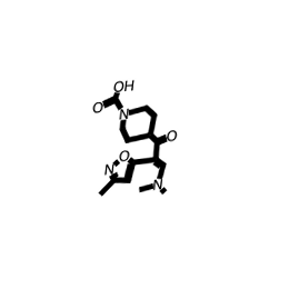 Cc1cc(C(=CN(C)C)C(=O)C2CCN(C(=O)O)CC2)on1